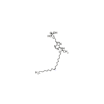 C=C(NC1=NC=NC2C1N=CN2CCOCP(=O)(O)O)OCCCCCCCC/C=C\CCCCCCCC